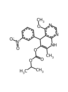 COc1ncnc2c1C(c1cccc([N+](=O)[O-])c1)C(OC(=O)OC(C)C)=C(C)N2